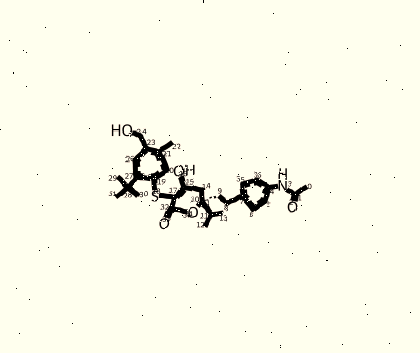 CC(=O)Nc1ccc(CC[C@@]2(C(C)C)CC(O)=C(Sc3cc(C)c(CO)cc3C(C)(C)C)C(=O)O2)cc1